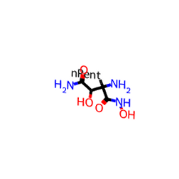 CCCCCC(N)(C(=O)NO)C(O)C(N)=O